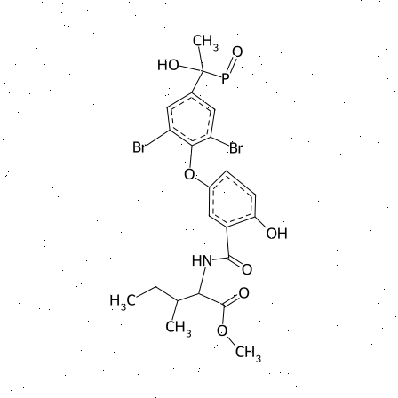 CCC(C)C(NC(=O)c1cc(Oc2c(Br)cc(C(C)(O)P=O)cc2Br)ccc1O)C(=O)OC